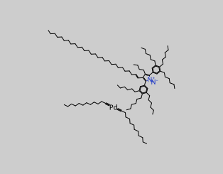 CCCCCCCCCCCC#[C][Pd][C]#CCCCCCCCCCCC.CCCCCCCCCCCCCCCCCCCCCCCCCCC=CC1=C(c2cc(CCCCCC)c(CCCCCC)c(CCCCCC)c2)[N+](=[N-])C(c2cc(CCCCCC)c(CCCCCC)c(CCCCCC)c2)=C1CCCC